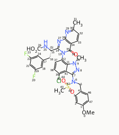 COc1ccc(CN(c2nn(C)c3c(-n4c([C@H](Cc5cc(F)cc(F)c5)NC(=O)O)nc5nc(C)ccc5c4=O)ccc(Cl)c23)S(C)(=O)=O)cc1